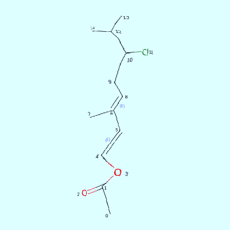 CC(=O)O/C=C/C(C)=C/CC(Cl)C(C)C